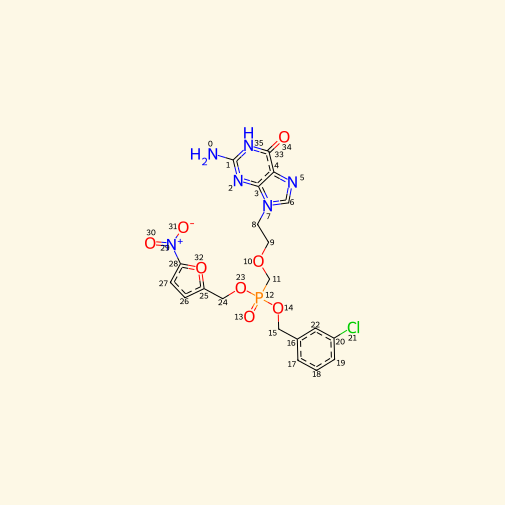 Nc1nc2c(ncn2CCOCP(=O)(OCc2cccc(Cl)c2)OCc2ccc([N+](=O)[O-])o2)c(=O)[nH]1